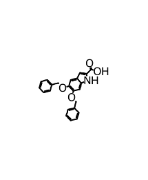 O=C(O)c1cc2cc(OCc3ccccc3)c(OCc3ccccc3)cc2[nH]1